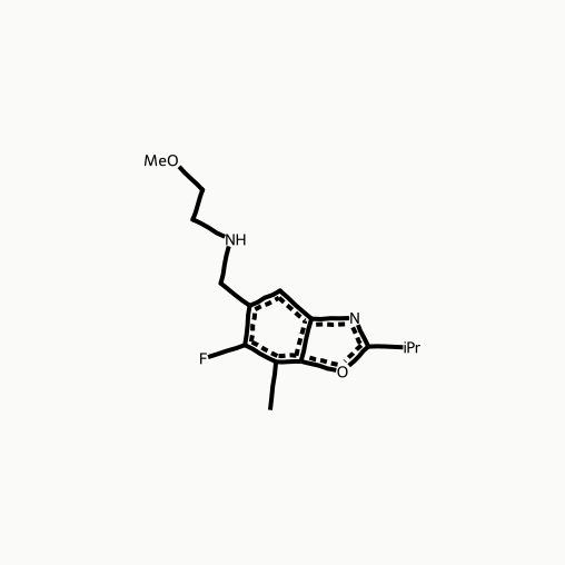 COCCNCc1cc2nc(C(C)C)oc2c(C)c1F